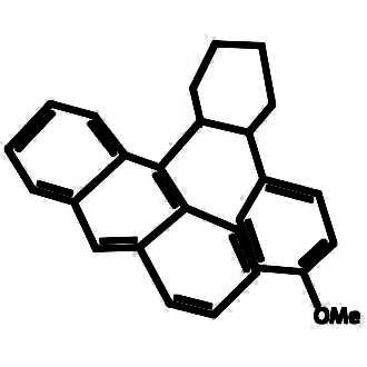 COc1ccc(C2CCCC[C]2c2c3ccccc3cc3ccccc23)cc1